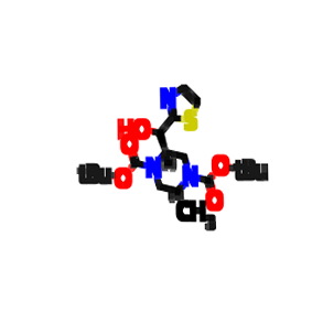 C[C@@H]1CN(C(=O)OC(C)(C)C)[C@@H](C(O)c2nccs2)CN1C(=O)OC(C)(C)C